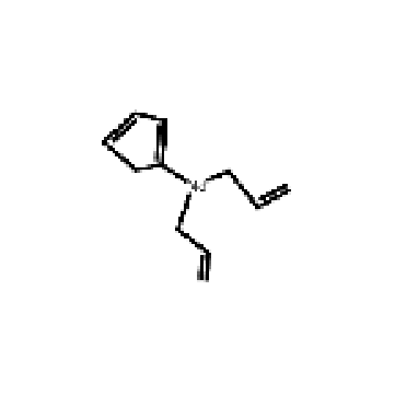 C=C[CH2][Nd]([CH2]C=C)[C]1=CC=CC1